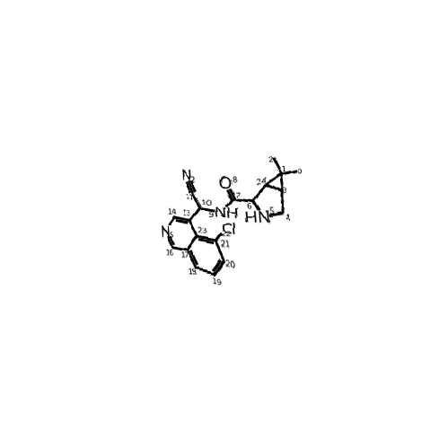 CC1(C)C2CNC(C(=O)NC(C#N)c3cncc4cccc(Cl)c34)C21